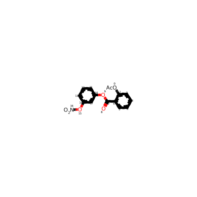 CC(=O)Oc1ccccc1C(=O)Oc1cccc(O[N+](=O)[O-])c1